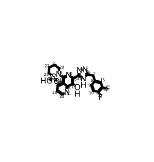 Oc1c(-c2nnc(Cc3ccc(F)c(F)c3)[nH]2)nc(N2CCCCS2(O)O)c2cccnc12